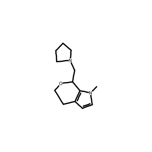 Cn1ccc2c1C(CN1CCCC1)OCC2